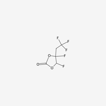 O=C1OC(F)C(F)(CC(F)(F)F)O1